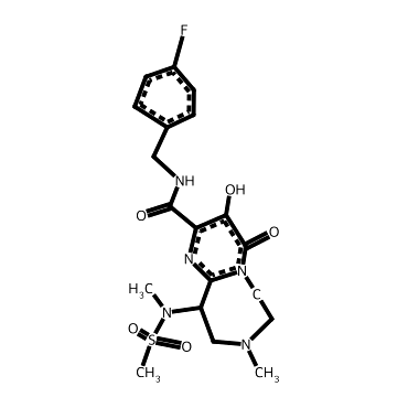 CN1CCn2c(nc(C(=O)NCc3ccc(F)cc3)c(O)c2=O)C(N(C)S(C)(=O)=O)C1